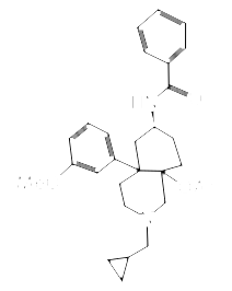 COc1cccc(C23CCN(CC4CC4)CC2(OC(C)=O)CC[C@H](NC(=O)c2ccccc2)C3)c1